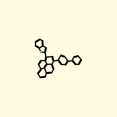 c1ccc(-c2ccc(-c3cc(-c4cc5ccccc5o4)c4ccc5cccc6ccc3c4c65)cc2)cc1